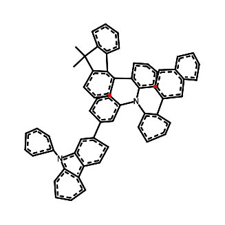 CC1(C)c2ccccc2-c2c(-c3ccccc3N(c3cccc(-c4ccc5c6ccccc6n(-c6ccccc6)c5c4)c3)c3ccccc3-c3ccc4ccccc4c3)cccc21